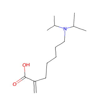 C=C(CCCCCN(C(C)C)C(C)C)C(=O)O